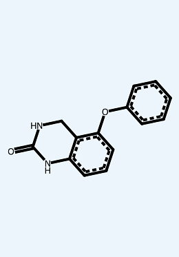 O=C1NCc2c(cccc2Oc2ccccc2)N1